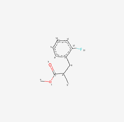 COC(=O)C(C)Cc1ccccc1F